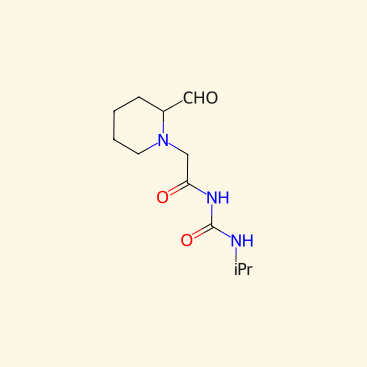 CC(C)NC(=O)NC(=O)CN1CCCCC1C=O